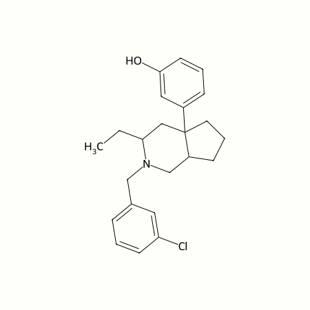 CCC1CC2(c3cccc(O)c3)CCCC2CN1Cc1cccc(Cl)c1